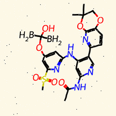 BC(B)(O)Oc1cc(Nc2cc(NC(C)=O)ncc2-c2ccc3c(n2)OC(C)(C)CO3)nc(S(C)(=O)=O)c1